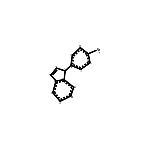 Brc1ccc(C2C=Cc3ccccc32)cc1